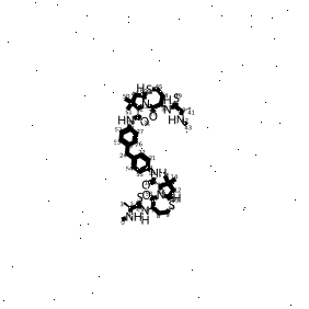 CN[C@@H](C)C(=S)N[C@H]1CCS[C@H]2CC(C)(C)[C@@H](C(=O)Nc3ccc(Cc4ccc(NC(=O)[C@H]5N6C(=O)[C@@H](NC(=S)[C@H](C)NC)CCS[C@H]6CC5(C)C)cc4)cc3)N2C1=O